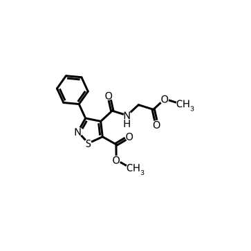 COC(=O)CNC(=O)c1c(-c2ccccc2)nsc1C(=O)OC